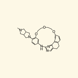 CN1CC2CN(c3ccc4cc3OCCOCCOc3ccc5c(c3)-c3nc(ncc3CC5)N4)CC2C1